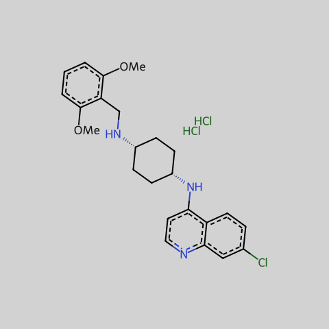 COc1cccc(OC)c1CN[C@H]1CC[C@@H](Nc2ccnc3cc(Cl)ccc23)CC1.Cl.Cl